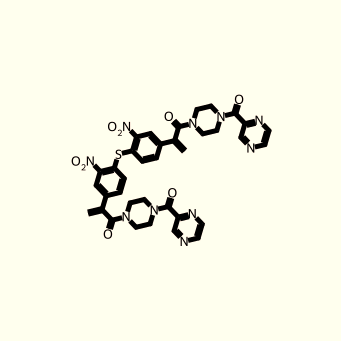 C=C(C(=O)N1CCN(C(=O)c2cnccn2)CC1)c1ccc(Sc2ccc(C(=C)C(=O)N3CCN(C(=O)c4cnccn4)CC3)cc2[N+](=O)[O-])c([N+](=O)[O-])c1